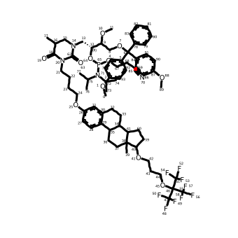 COc1ccc(C(OCC(OC)[C@@H](CN2CC(C)C(=O)N(CCCCOc3ccc4c(c3)CCC3C4CCC4(C)C(OCCCOC(C(F)(F)F)(C(F)(F)F)C(F)(F)F)CCC34)C2=O)OP(OCCC#N)N(C(C)C)C(C)C)(c2ccccc2)c2ccc(OC)cc2)cc1